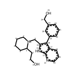 OCCC1CCCCN1Cc1[nH]c2ncccc2c1-c1cccc(CO)c1